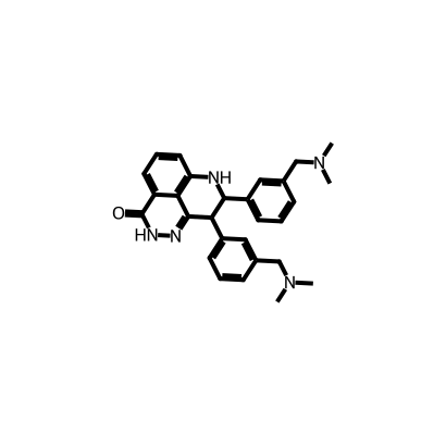 CN(C)Cc1cccc(C2Nc3cccc4c(=O)[nH]nc(c34)C2c2cccc(CN(C)C)c2)c1